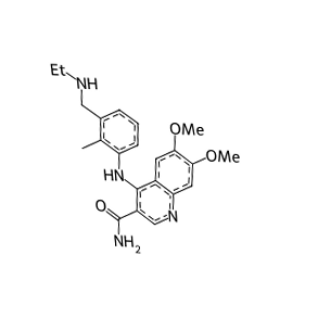 CCNCc1cccc(Nc2c(C(N)=O)cnc3cc(OC)c(OC)cc23)c1C